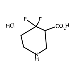 Cl.O=C(O)C1CNCCC1(F)F